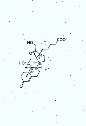 C[C@]12CCC(=O)C=C1CC[C@@H]1[C@@H]2[C@@H](O)C[C@@]2(C)[C@H]1CC[C@@]2(CCCCC(=O)[O-])C(=O)CO.[H+]